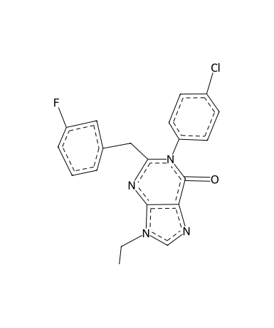 CCn1cnc2c(=O)n(-c3ccc(Cl)cc3)c(Cc3cccc(F)c3)nc21